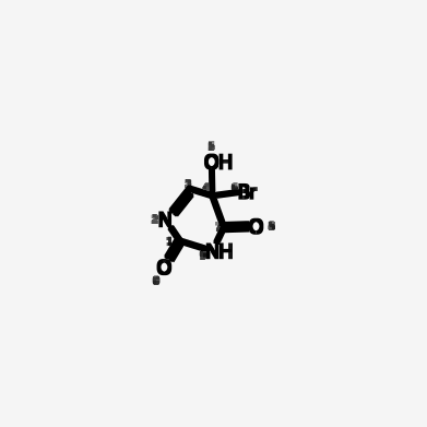 O=C1N=CC(O)(Br)C(=O)N1